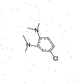 CN(C)c1ccc(Cl)cc1N(C)C